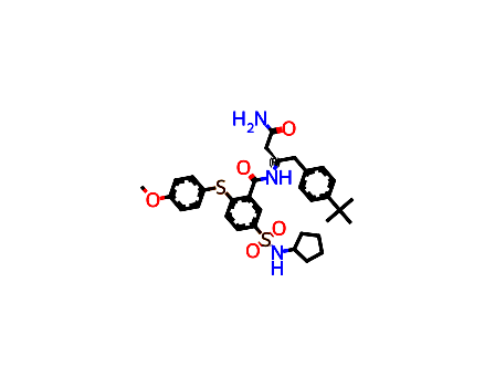 COc1ccc(Sc2ccc(S(=O)(=O)NC3CCCC3)cc2C(=O)N[C@@H](CC(N)=O)Cc2ccc(C(C)(C)C)cc2)cc1